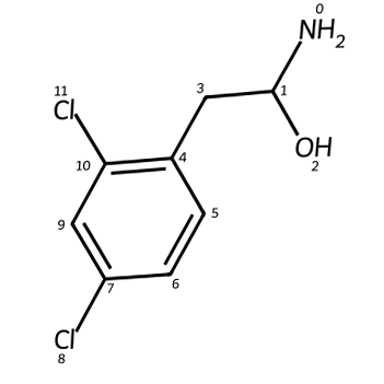 NC(O)Cc1ccc(Cl)cc1Cl